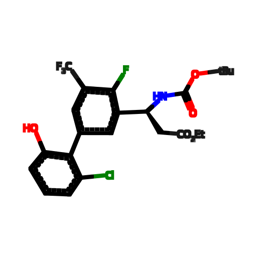 CCOC(=O)C[C@H](NC(=O)OC(C)(C)C)c1cc(-c2c(O)cccc2Cl)cc(C(F)(F)F)c1F